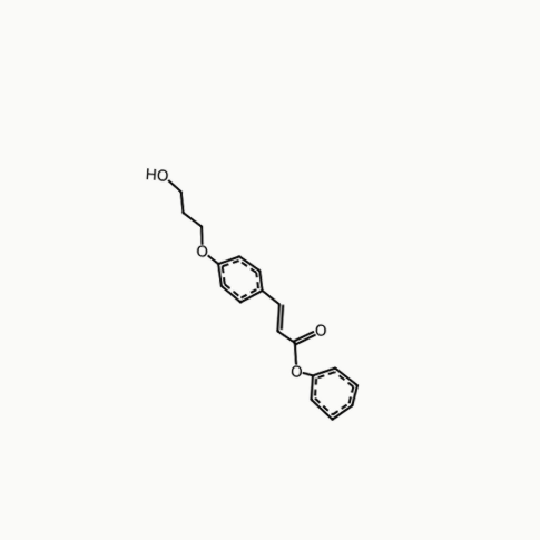 O=C(C=Cc1ccc(OCCCO)cc1)Oc1ccccc1